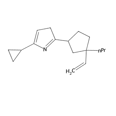 C=CC1(CCC)CCC(C2=NC(C3CC3)=CC2)C1